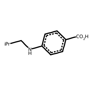 CC(C)CNc1ccc(C(=O)O)cc1